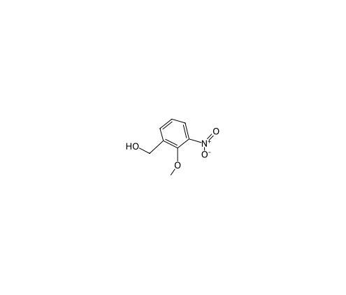 COc1c(CO)cccc1[N+](=O)[O-]